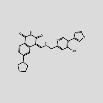 O=C1NC(=O)c2ccc(C3CCCC3)cc2/C1=C/NCc1cc(O)c(-c2ccoc2)cn1